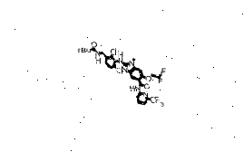 Cn1c(Nc2c(Cl)ccc(CNC(=O)C(C)(C)C)c2Cl)nc2cc(C(=O)Nc3cccc(C(F)(F)F)n3)c(OCC(F)F)cc21